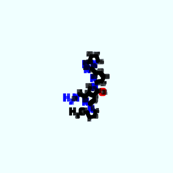 CC1CCCN1c1cc2c(c(CN)n1)CN(c1cccc(-c3nnc4n3CCC4)n1)C2=O